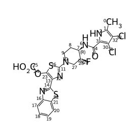 Cc1[nH]c(C(=O)N[C@@H]2CCN(c3nc(-c4nc5ccccc5s4)c(OC(=O)O)s3)C[C@@H]2F)c(Cl)c1Cl